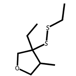 CCSSC1(CC)COCC1C